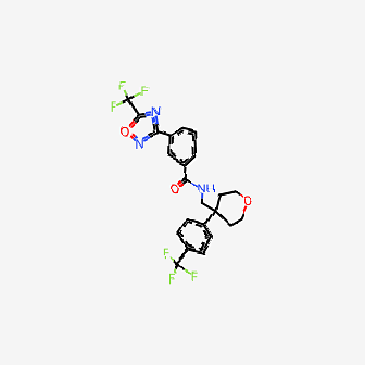 O=C(NCC1(c2ccc(C(F)(F)F)cc2)CCOCC1)c1cccc(-c2noc(C(F)(F)F)n2)c1